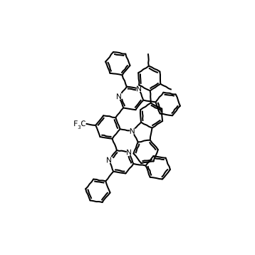 Cc1ccc(-c2ccc3c4ccccc4n(-c4c(-c5cc(-c6ccccc6)nc(-c6ccccc6)n5)cc(C(F)(F)F)cc4-c4nc(-c5ccccc5)cc(-c5ccccc5)n4)c3c2)c(C)c1